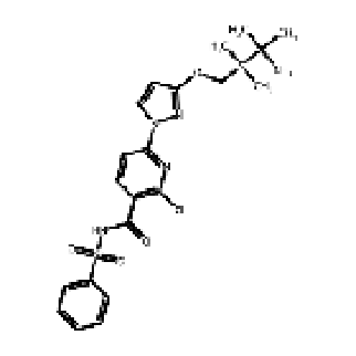 CC(C)(C)S(C)(C)COc1ccn(-c2ccc(C(=O)NS(=O)(=O)c3ccccc3)c(Cl)n2)n1